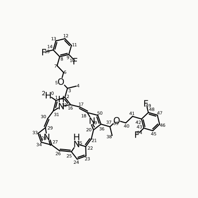 [2H]c1c(C(C)OCCc2c(F)cccc2F)c2cc3nc(cc4ccc(cc5nc(cc1[nH]2)C=C5)[nH]4)C(C(C)OCCc1c(F)cccc1F)=C3